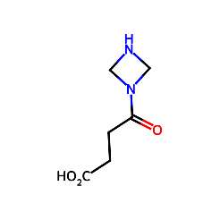 O=C(O)CCC(=O)N1CNC1